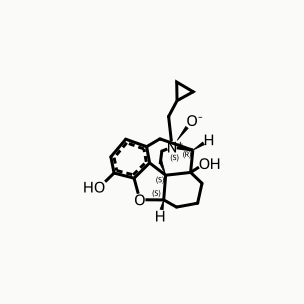 [O-][N@+]1(CC2CC2)CC[C@]23c4c5ccc(O)c4O[C@H]2CCCC3(O)[C@H]1C5